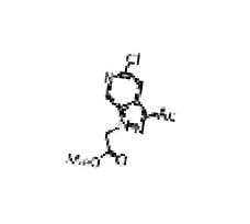 COC(=O)Cn1nc(C(C)=O)c2cc(Cl)ncc21